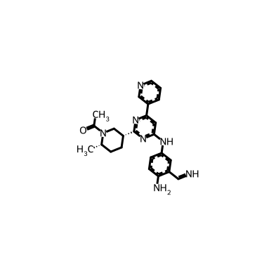 CC(=O)N1C[C@H](c2nc(Nc3ccc(N)c(C=N)c3)cc(-c3cccnc3)n2)CC[C@@H]1C